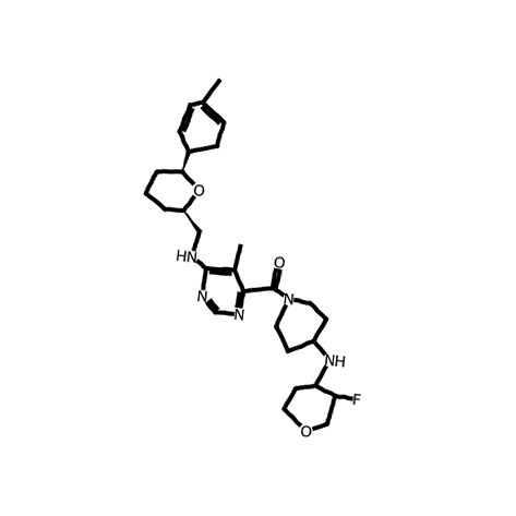 CC1=CCC([C@@H]2CCC[C@H](CNc3ncnc(C(=O)N4CCC(NC5CCOCC5F)CC4)c3C)O2)C=C1